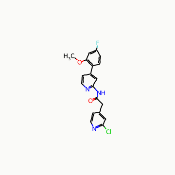 COc1cc(F)ccc1-c1ccnc(NC(=O)Cc2ccnc(Cl)c2)c1